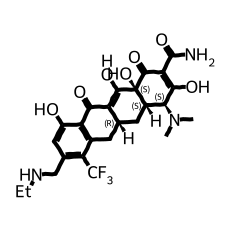 CCNCc1cc(O)c2c(c1C(F)(F)F)C[C@H]1C[C@H]3[C@H](N(C)C)C(O)=C(C(N)=O)C(=O)[C@@]3(O)C(O)=C1C2=O